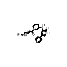 CCN(c1cc(-c2ccncc2)c[nH]c1=O)C1CCCN(C(=O)/C=C/CNC(C)C)C1